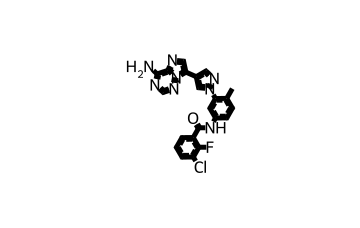 Cc1ccc(NC(=O)c2cccc(Cl)c2F)cc1-n1cc(-c2cnc3c(N)ncnn23)cn1